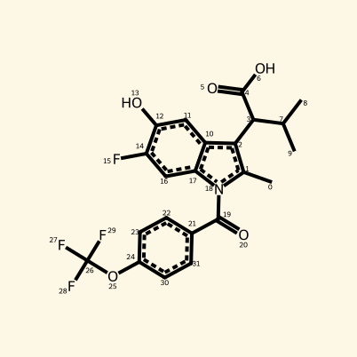 Cc1c(C(C(=O)O)C(C)C)c2cc(O)c(F)cc2n1C(=O)c1ccc(OC(F)(F)F)cc1